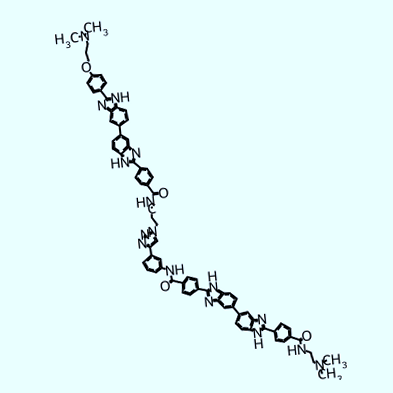 CN(C)CCCOc1ccc(-c2nc3cc(-c4ccc5[nH]c(-c6ccc(C(=O)NCCCn7cc(-c8cccc(NC(=O)c9ccc(-c%10nc%11cc(-c%12ccc%13[nH]c(-c%14ccc(C(=O)NCCN(C)C)cc%14)nc%13c%12)ccc%11[nH]%10)cc9)c8)nn7)cc6)nc5c4)ccc3[nH]2)cc1